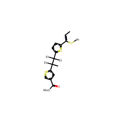 C/C=C(\SC(C)C)c1ccc(C(CC)(CC)C(C)(CC)c2cc(C(=O)OC)cs2)s1